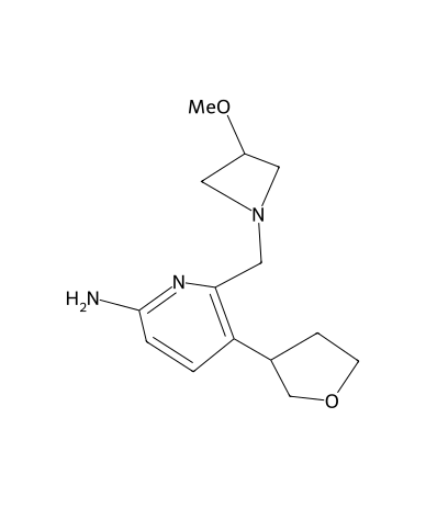 COC1CN(Cc2nc(N)ccc2C2CCOC2)C1